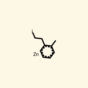 Cc1ccccc1CCI.[Zn]